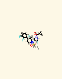 CS(=O)(=O)N[C@H]1[C@@H](F)CN(C(=O)C2CC2)[C@H]1CC1(F)C=CC=CC1c1cccc(F)c1F